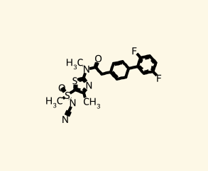 Cc1nc(N(C)C(=O)CC2=CCC(c3cc(F)ccc3F)C=C2)sc1S(C)(=O)=NC#N